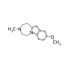 COc1ccc2c(c1)cc1n2CCN(C)CC1